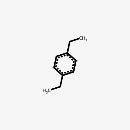 CCc1[c]cc(CC)[c]c1